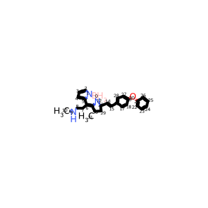 Bn1cccc1/C(CCNC)=C1N=C(/C=C/c2ccc(Oc3ccccc3)cc2)CC\1C